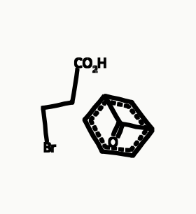 O=C(O)CCBr.O=C1c2cccc1c2